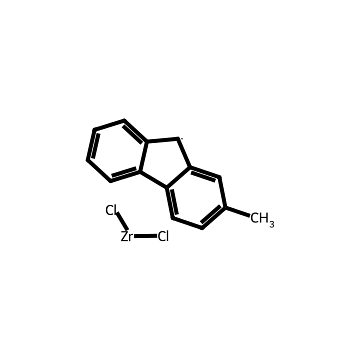 Cc1ccc2c(c1)[CH]c1ccccc1-2.[Cl][Zr][Cl]